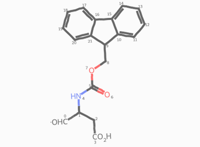 O=[C]C(CC(=O)O)NC(=O)OCC1c2ccccc2-c2ccccc21